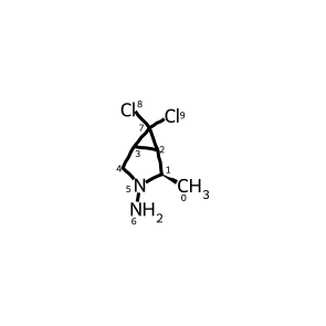 C[C@@H]1C2C(CN1N)C2(Cl)Cl